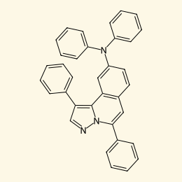 c1ccc(-c2cnn3c(-c4ccccc4)cc4ccc(N(c5ccccc5)c5ccccc5)cc4c23)cc1